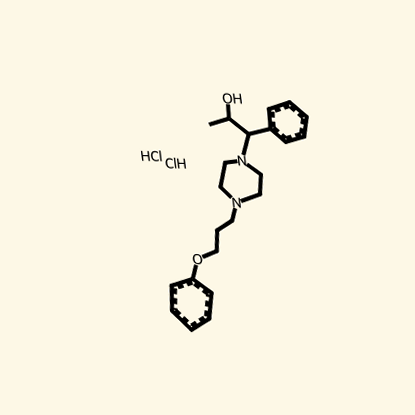 CC(O)C(c1ccccc1)N1CCN(CCCOc2ccccc2)CC1.Cl.Cl